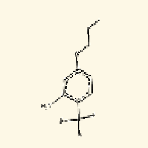 CCCOc1ccc(C(F)(F)F)c(N)c1